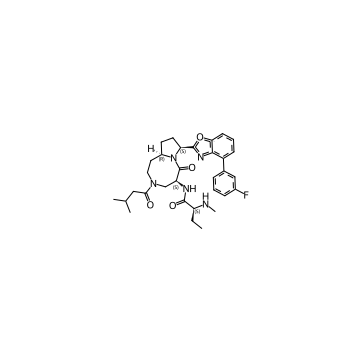 CC[C@H](NC)C(=O)N[C@H]1CN(C(=O)CC(C)C)CC[C@H]2CC[C@@H](c3nc4c(-c5cccc(F)c5)cccc4o3)N2C1=O